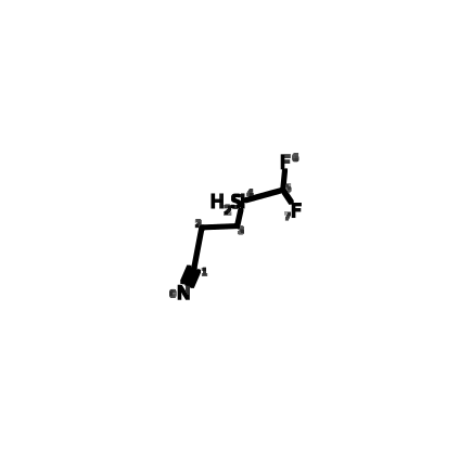 N#CCC[SiH2]C(F)F